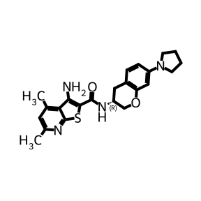 Cc1cc(C)c2c(N)c(C(=O)N[C@H]3COc4cc(N5CCCC5)ccc4C3)sc2n1